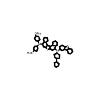 COc1ccc(N(c2ccc(OC)cc2)c2cc3sc4cc(N(c5ccc(-c6ccccc6)cc5)c5ccc6sc7ccccc7c6c5)c5ccccc5c4c3c3ccccc23)cc1